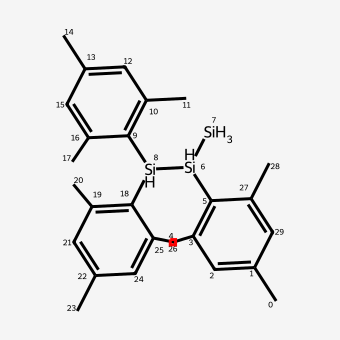 Cc1cc(C)c([SiH]([SiH3])[SiH](c2c(C)cc(C)cc2C)c2c(C)cc(C)cc2C)c(C)c1